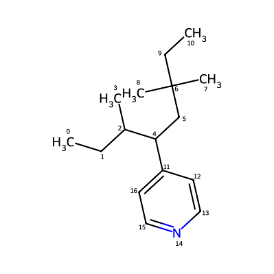 CCC(C)C(CC(C)(C)CC)c1ccncc1